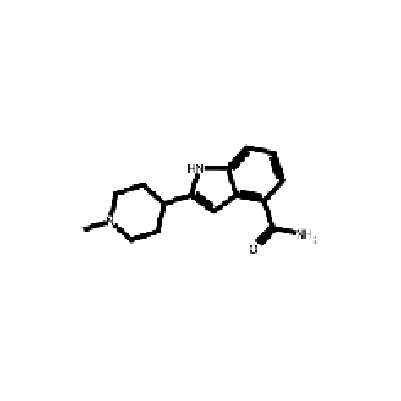 CN1CCC(c2cc3c(C(N)=O)cccc3[nH]2)CC1